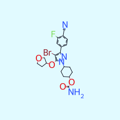 N#Cc1ccc(-c2nn(C3CCC(OC(N)=O)CC3)c(O[C@H]3CCOC3)c2Br)cc1F